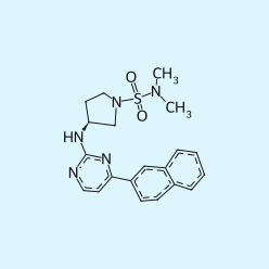 CN(C)S(=O)(=O)N1CC[C@H](Nc2nccc(-c3ccc4ccccc4c3)n2)C1